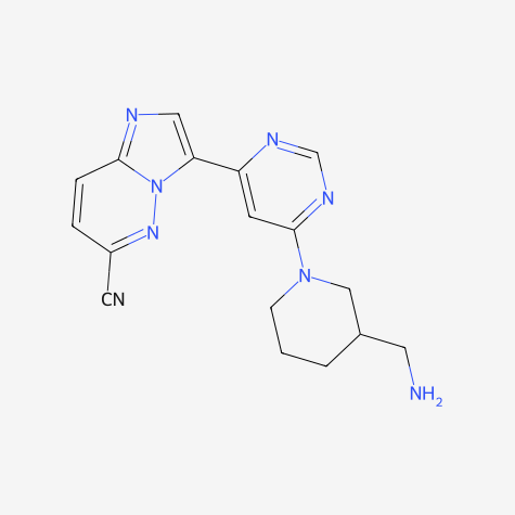 N#Cc1ccc2ncc(-c3cc(N4CCCC(CN)C4)ncn3)n2n1